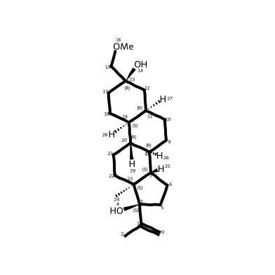 C=C(C)[C@@]1(O)CC[C@H]2[C@@H]3CC[C@@H]4C[C@@](O)(COC)CC[C@@H]4[C@H]3CC[C@@]21C